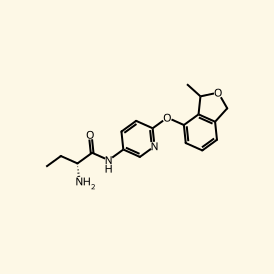 CC[C@@H](N)C(=O)Nc1ccc(Oc2cccc3c2C(C)OC3)nc1